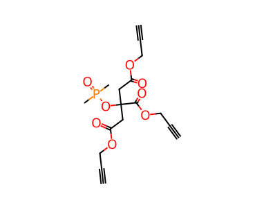 C#CCOC(=O)CC(CC(=O)OCC#C)(OP(C)(C)=O)C(=O)OCC#C